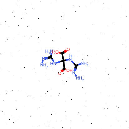 NN=C(N)NC(NC(N)=NN)(C(=O)O)C(=O)O